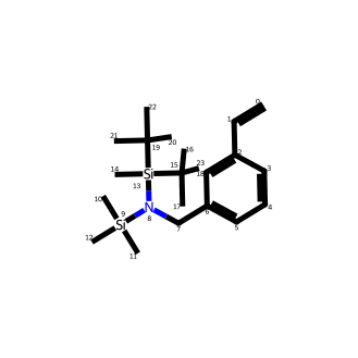 C=Cc1cccc(CN([Si](C)(C)C)[Si](C)(C(C)(C)C)C(C)(C)C)c1